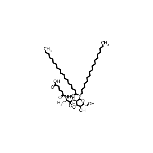 CCCCCCCCCCCCCCCCCCN(C(=O)CCCCCCCCCCCCCCCCC)[C@@H]1O[C@H](CO)[C@@H](O)[C@H](O)[C@H]1NC(=O)[C@H](C)NC(=O)CCCC(=O)O